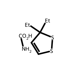 CCC1(CC)C=CSS1.NC(=O)O